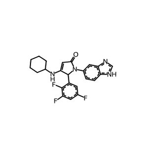 O=C1C=C(NC2CCCCC2)C(c2cc(F)cc(F)c2F)N1c1ccc2[nH]cnc2c1